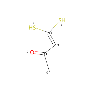 CC(=O)C=C(S)S